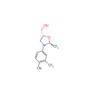 N#Cc1ccc(N2C[C@H](CO)O[C@H]2C(F)(F)F)cc1C(F)(F)F